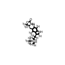 [2H]c1[nH]c2c([2H])c([2H])c(C[C@@H]3NC(=O)OC3([2H])[2H])c([2H])c2c1C([2H])([2H])C([2H])([2H])N(C([2H])([2H])[2H])C([2H])([2H])[2H]